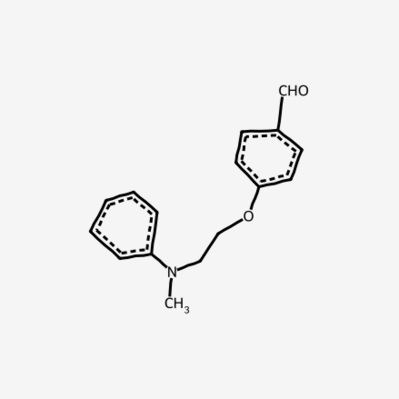 CN(CCOc1ccc(C=O)cc1)c1ccccc1